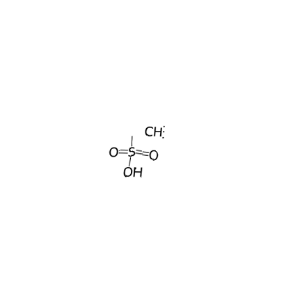 CS(=O)(=O)O.[CH]